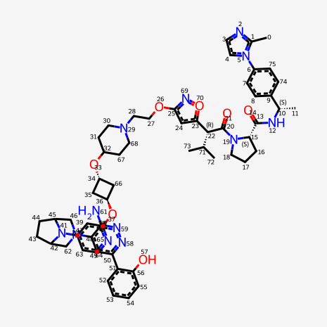 Cc1nccn1-c1ccc([C@H](C)NC(=O)[C@@H]2CCCN2C(=O)[C@@H](c2cc(OCCN3CCC(O[C@H]4C[C@H](Oc5cc(N6C7CCC6CN(c6cc(-c8ccccc8O)nnc6N)C7)ccn5)C4)CC3)no2)C(C)C)cc1